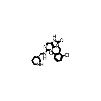 O=c1[nH]c2cnc(NC[C@@H]3CCCNC3)nc2n1Cc1c(Cl)cccc1Cl